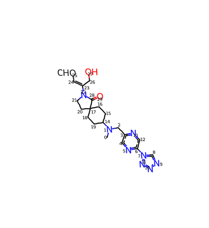 CN(Cc1cnc(-n2cnnn2)cn1)C1CCC2(CC1)CCN(/C(=C/C=O)CO)C2=O